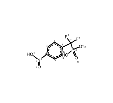 O=[N+](O)c1ccc(C(F)(F)P(=O)([O-])O)cc1